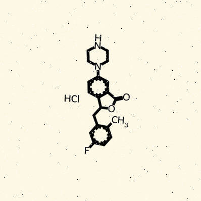 Cc1ccc(F)cc1CC1OC(=O)c2cc(N3CCNCC3)ccc21.Cl